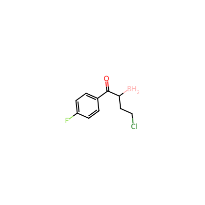 BC(CCCl)C(=O)c1ccc(F)cc1